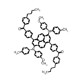 CCCCc1ccc(C(=O)c2ccc(-c3cc(N(c4ccc(C)cc4)c4ccc(OC)cc4)c4ccc5c(-c6ccc(C(=O)c7ccc(CCCC)cc7)cc6)cc(N(c6ccc(C)cc6)c6ccc(OC)cc6)c6ccc3c4c56)cc2)cc1